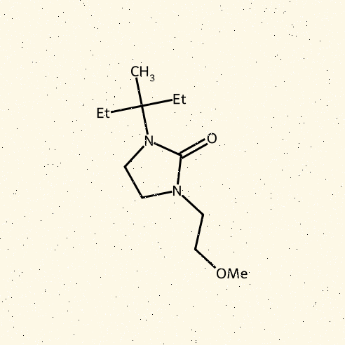 CCC(C)(CC)N1CCN(CCOC)C1=O